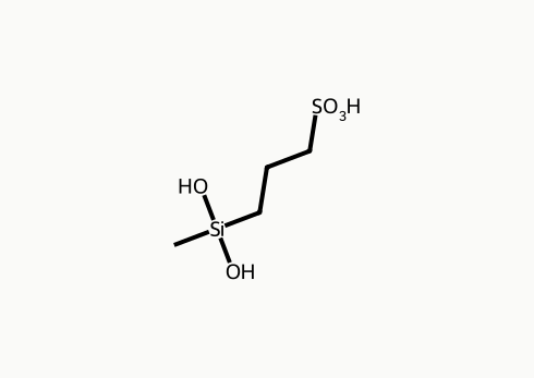 C[Si](O)(O)CCCS(=O)(=O)O